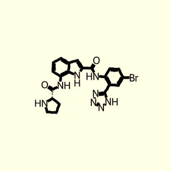 O=C(Nc1ccc(Br)cc1-c1nnn[nH]1)c1cc2cccc(NC(=O)[C@@H]3CCCN3)c2[nH]1